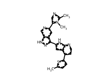 Cc1ccc(-c2ccnc3[nH]c(-c4n[nH]c5cnc(-c6cnc(C)n6C)cc45)cc23)s1